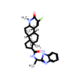 CC(NC(=O)C1CC[C@H]2[C@@H]3CCC4N(C)C(=O)C(F)=C[C@]4(C)[C@@H]3CC[C@]12C)c1nc2ccccc2[nH]1